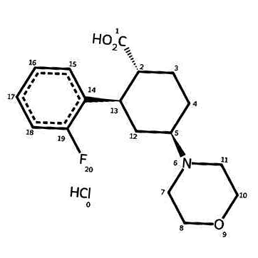 Cl.O=C(O)[C@@H]1CC[C@@H](N2CCOCC2)C[C@H]1c1ccccc1F